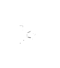 Cn1cc(CC(F)(F)F)c(C(F)(F)C(F)(F)F)n1